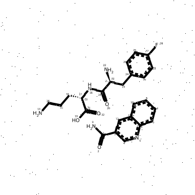 NC(=O)c1cnc2ccccc2c1.NCCC[C@H](NC(=O)[C@@H](N)Cc1ccc(F)cc1)C(=O)O